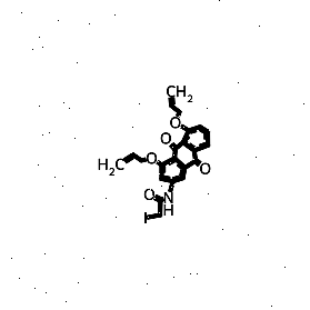 C=CCOc1cccc2c1C(=O)c1c(OCC=C)cc(NC(=O)CI)cc1C2=O